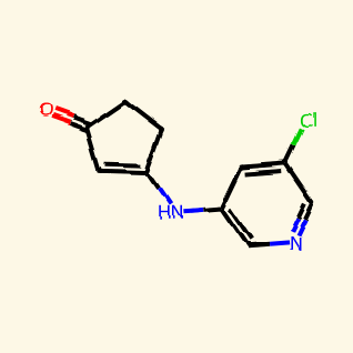 O=C1C=C(Nc2cncc(Cl)c2)CC1